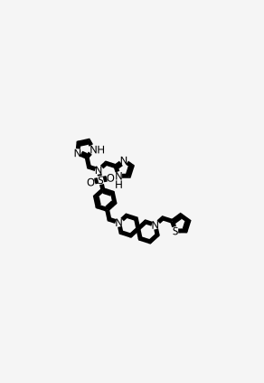 O=S(=O)(c1ccc(CN2CCC3(CCCN(Cc4cccs4)C3)CC2)cc1)N(Cc1ncc[nH]1)Cc1ncc[nH]1